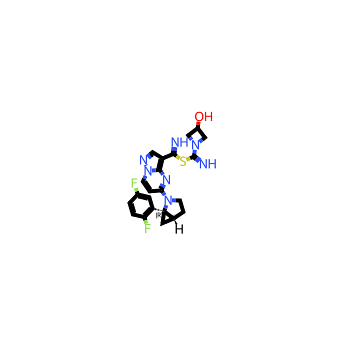 N=C(SC(=N)N1CC(O)C1)c1cnn2ccc(N3CC[C@H]4C[C@]43c3cc(F)ccc3F)nc12